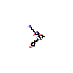 CNCCCCNC(=O)c1nc([C@H](CC(C)C)NC(=O)CCc2ccc(OC)cc2)oc1C